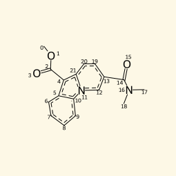 COC(=O)c1c2ccccc2n2cc(C(=O)N(C)C)ccc12